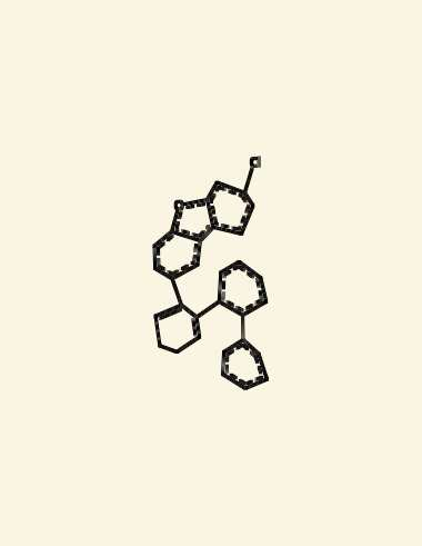 Clc1ccc2c(c1)oc1ccc(C3=CCCC=C3c3ccccc3-c3ccccc3)cc12